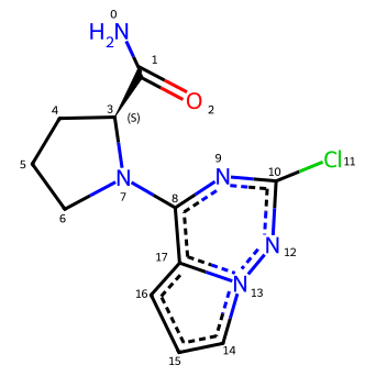 NC(=O)[C@@H]1CCCN1c1nc(Cl)nn2cccc12